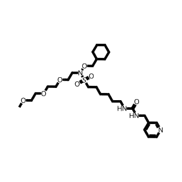 COCCOCCOCCN(OCC1CCCCC1)S(=O)(=O)CCCCCCNC(=O)NCc1cccnc1